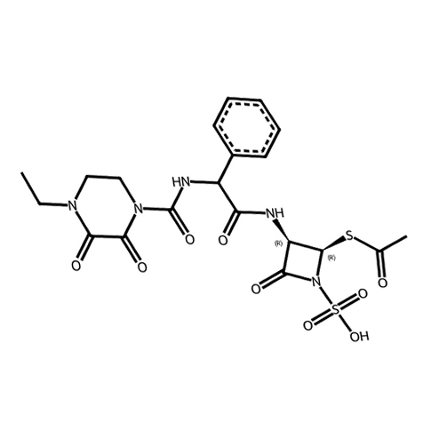 CCN1CCN(C(=O)NC(C(=O)N[C@@H]2C(=O)N(S(=O)(=O)O)[C@@H]2SC(C)=O)c2ccccc2)C(=O)C1=O